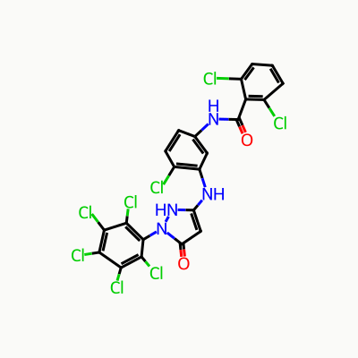 O=C(Nc1ccc(Cl)c(Nc2cc(=O)n(-c3c(Cl)c(Cl)c(Cl)c(Cl)c3Cl)[nH]2)c1)c1c(Cl)cccc1Cl